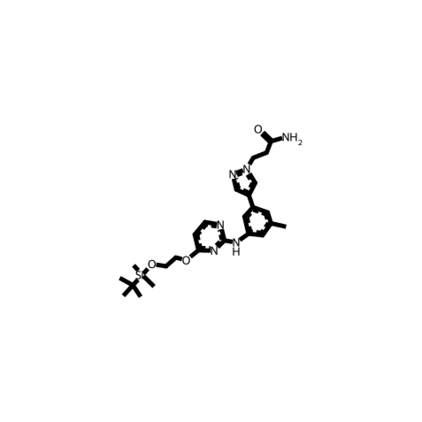 Cc1cc(Nc2nccc(OCCO[Si](C)(C)C(C)(C)C)n2)cc(-c2cnn(CCC(N)=O)c2)c1